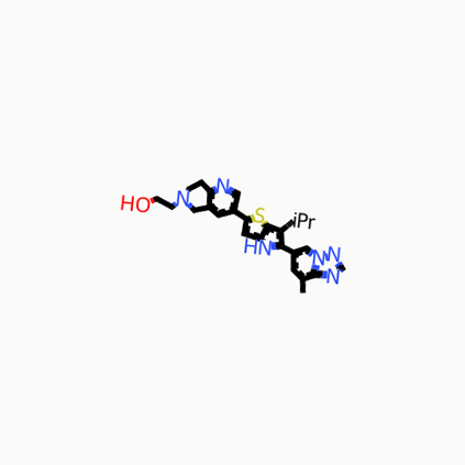 Cc1cc(-c2[nH]c3cc(-c4cnc5c(c4)CN(CCO)CC5)sc3c2C(C)C)cn2ncnc12